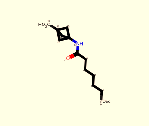 CCCCCCCCCCCCCCCC(=O)NC12CC(C(=O)O)(C1)C2